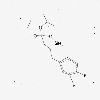 CC(C)OC(CCCc1ccc(F)c(F)c1)(O[SiH3])OC(C)C